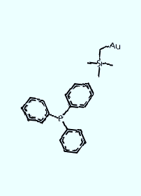 C[Si](C)(C)[CH2][Au].c1ccc(P(c2ccccc2)c2ccccc2)cc1